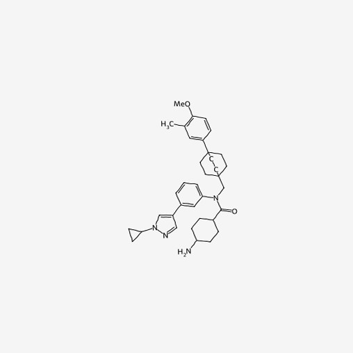 COc1ccc(C23CCC(CN(C(=O)C4CCC(N)CC4)c4cccc(-c5cnn(C6CC6)c5)c4)(CC2)CC3)cc1C